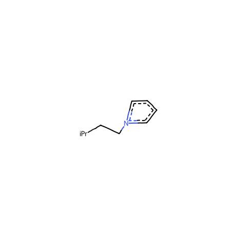 CC(C)CCn1cccc1